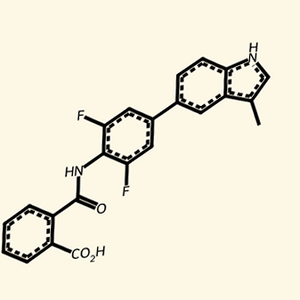 Cc1c[nH]c2ccc(-c3cc(F)c(NC(=O)c4ccccc4C(=O)O)c(F)c3)cc12